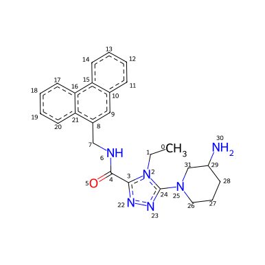 CCn1c(C(=O)NCc2cc3ccccc3c3ccccc23)nnc1N1CCCC(N)C1